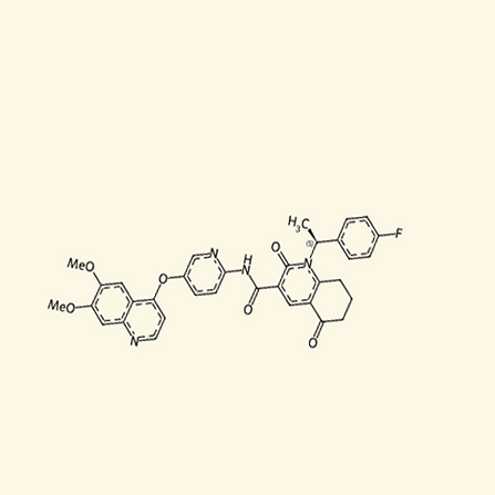 COc1cc2nccc(Oc3ccc(NC(=O)c4cc5c(n([C@@H](C)c6ccc(F)cc6)c4=O)CCCC5=O)nc3)c2cc1OC